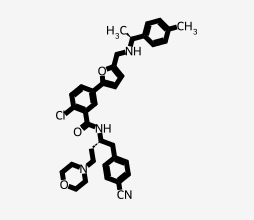 Cc1ccc([C@@H](C)NCc2ccc(-c3ccc(Cl)c(C(=O)N[C@@H](CCN4CCOCC4)Cc4ccc(C#N)cc4)c3)o2)cc1